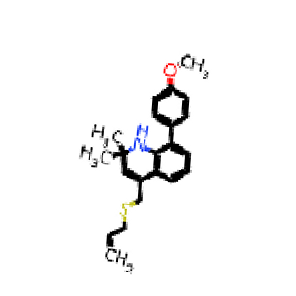 C=CCSCC1=CC(C)(C)Nc2c1cccc2-c1ccc(OC)cc1